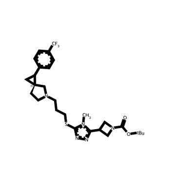 Cn1c(SCCCN2CC[C@]3(CC3c3ccc(C(F)(F)F)cc3)C2)nnc1C1CN(C(=O)OC(C)(C)C)C1